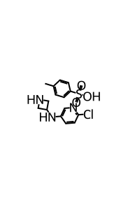 Cc1ccc(S(=O)(=O)O)cc1.Clc1ccc(NC2CNC2)cn1